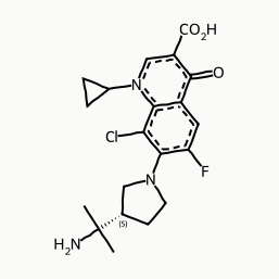 CC(C)(N)[C@H]1CCN(c2c(F)cc3c(=O)c(C(=O)O)cn(C4CC4)c3c2Cl)C1